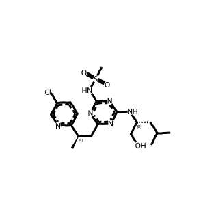 CC(C)C[C@H](CO)Nc1nc(C[C@@H](C)c2ccc(Cl)cn2)nc(NS(C)(=O)=O)n1